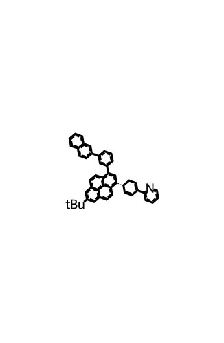 CC(C)(C)c1cc2ccc3c(-c4cccc(-c5ccc6ccccc6c5)c4)cc([C@H]4C=CC(c5ccccn5)=CC4)c4ccc(c1)c2c34